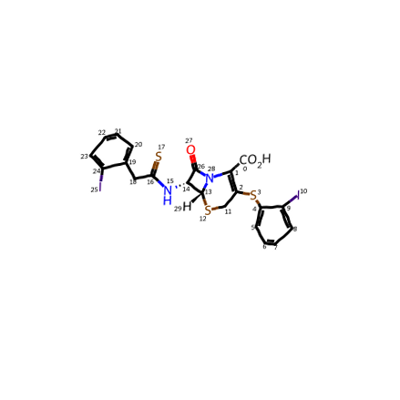 O=C(O)C1=C(Sc2ccccc2I)CS[C@@H]2[C@H](NC(=S)Cc3ccccc3I)C(=O)N12